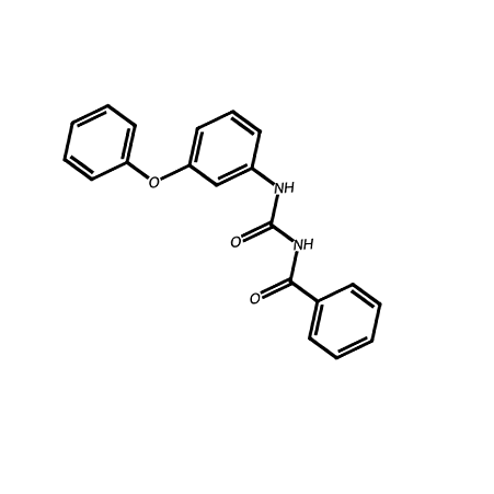 O=C(NC(=O)c1ccccc1)Nc1cccc(Oc2ccccc2)c1